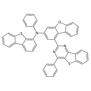 c1ccc(-c2nc(-c3cc(N(c4ccccc4)c4cccc5c4sc4ccccc45)cc4oc5ccccc5c34)nc3c2sc2ccccc23)cc1